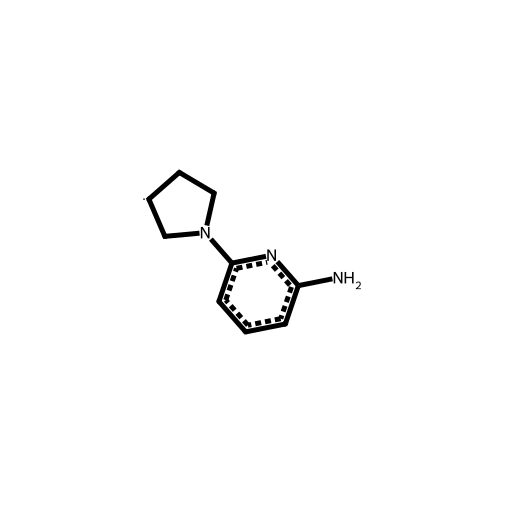 Nc1cccc(N2C[CH]CC2)n1